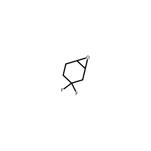 FC1(F)CCC2OC2C1